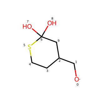 [O]CC1CCSC(O)(O)C1